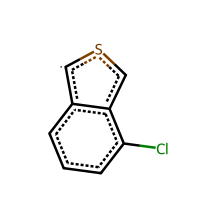 Clc1cccc2[c]scc12